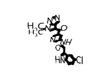 CC(C)n1cc(C(=O)c2cncc(NC(=O)Cc3c[nH]c4ccc(Cl)cc34)c2)c2cncnc21